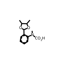 CC1OC(c2ccccc2N(C)C(=O)O)OC1C